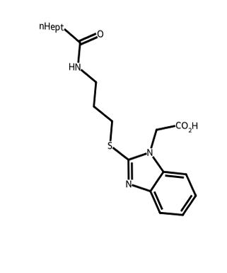 CCCCCCCC(=O)NCCCSc1nc2ccccc2n1CC(=O)O